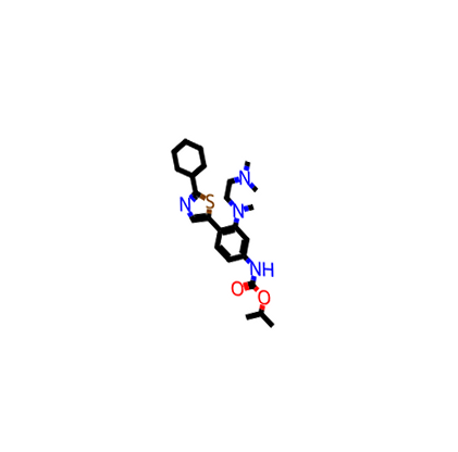 CC(C)OC(=O)Nc1ccc(-c2cnc(C3CCCCC3)s2)c(N(C)CCN(C)C)c1